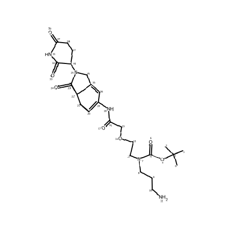 CC(C)(C)OC(=O)N(CCCN)CCOCC(=O)NC1=CCC2C(=O)N(C3CCC(=O)NC3=O)CC2=C1